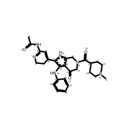 CC(=O)NC1=NCCC(c2[nH]c3c(c2NC2=C=C=CC=C2)C(=O)CN(C(=O)C2CCN(C)CC2)C3)=C1